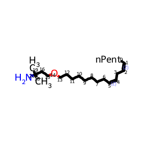 CCCCC/C=C\C/C=C\CCCCCCCCOCCC(C)(C)N